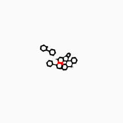 CC1(C)c2ccccc2C2(c3ccccc3-c3cc(N(c4ccc5sc6ccccc6c5c4)c4ccccc4-c4ccccc4)ccc32)c2ccccc21